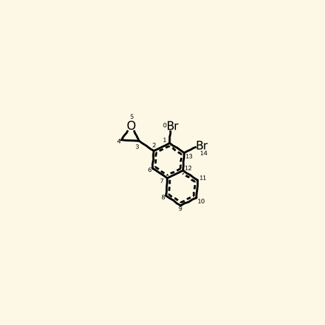 Brc1c(C2CO2)cc2ccccc2c1Br